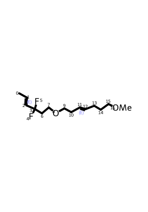 C/C=C/C(F)(F)CCOCC/C=C/CCCOC